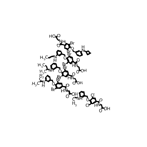 CC(C)Nc1cccc(COc2c(Br)cc(C(=O)NCC(=O)O)cc2Br)c1.CCC(C)Nc1cccc(COc2c(Br)cc(C(=O)NCC(=O)O)cc2Br)c1.CCCNc1cccc(COc2c(Br)cc(C(=O)NCC(=O)O)cc2Br)c1.CCNc1cccc(COc2c(Cl)cc(C(=O)NCC(=O)O)cc2Cl)c1.O=C(O)CNC(=O)c1cc(Br)c(OCc2cccc(NC3CCC3)c2)c(Br)c1